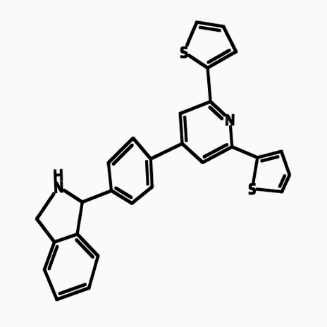 c1csc(-c2cc(-c3ccc(C4NCc5ccccc54)cc3)cc(-c3cccs3)n2)c1